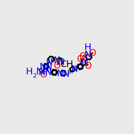 CN1CCN([C@@H]2CCCN(c3cnc(C(N)=O)c(Nc4ccc(N5CCN(C[C@@H]6CCN(c7ccc8c(c7)C(=O)N(C7CCC(=O)NC7=O)C8=O)C6)CC5)cc4)n3)C2)C1=O